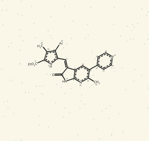 CCOC(=O)c1[nH]c(C=C2C(=O)Nc3nc(C)c(-c4ccncc4)cc32)c(C(C)=O)c1C